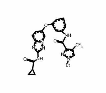 CCn1cc(C(F)(F)F)c(C(=O)Nc2cccc(Oc3ccc4nc(NC(=O)C5CC5)nn4c3)c2)n1